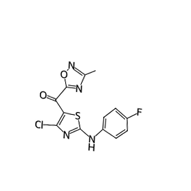 Cc1noc(C(=O)c2sc(Nc3ccc(F)cc3)nc2Cl)n1